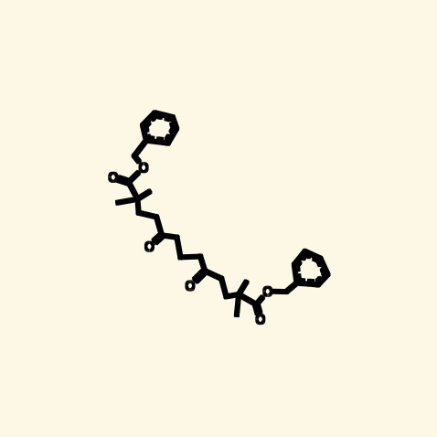 CC(C)(CCC(=O)CCCC(=O)CCC(C)(C)C(=O)OCc1ccccc1)C(=O)OCc1ccccc1